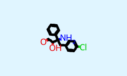 NC(Cc1ccc(Cl)cc1)(c1ccccc1)C(O)C=O